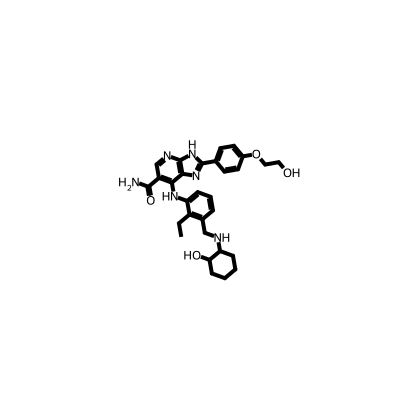 CCc1c(CNC2CCCCC2O)cccc1Nc1c(C(N)=O)cnc2[nH]c(-c3ccc(OCCO)cc3)nc12